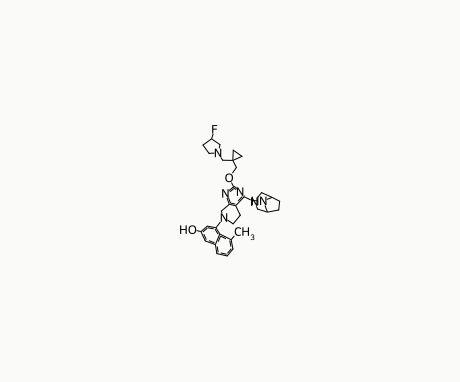 Cc1cccc2cc(O)cc(N3CCc4c(nc(OCC5(CN6CCC(F)C6)CC5)nc4N4CC5CCC(C4)N5)C3)c12